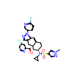 Cn1cc(S(=O)(=O)N(C2CC2)[C@H]2CCC3=Cc4c(cnn4-c4ccc(F)nc4)C[C@]3(C(=O)c3cc(F)ccn3)C2)cn1